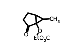 CCOC(=O)OC12C(=O)CCC1C2C